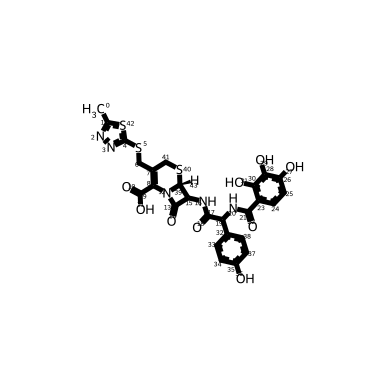 Cc1nnc(SCC2=C(C(=O)O)N3C(=O)C(NC(=O)C(NC(=O)c4ccc(O)c(O)c4O)c4ccc(O)cc4)[C@H]3SC2)s1